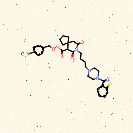 O=C(OOCc1ccc([N+](=O)[O-])cc1)C1C(=O)N(CCCCN2CCN(c3nsc4ccccc34)CC2)C(=O)CC12CCCC2